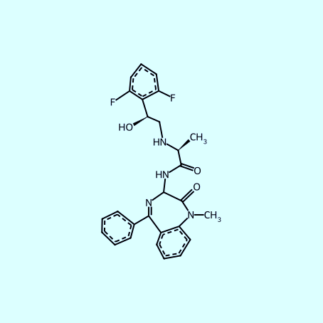 C[C@H](NC[C@@H](O)c1c(F)cccc1F)C(=O)NC1N=C(c2ccccc2)c2ccccc2N(C)C1=O